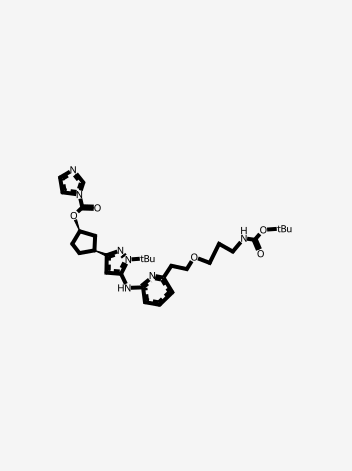 CC(C)(C)OC(=O)NCCCOCCc1cccc(Nc2cc([C@H]3CC[C@@H](OC(=O)n4ccnc4)C3)nn2C(C)(C)C)n1